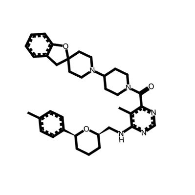 Cc1ccc([C@@H]2CCC[C@H](CNc3ncnc(C(=O)N4CCC(N5CCC6(CC5)Cc5ccccc5O6)CC4)c3C)O2)cc1